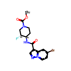 CC(C)(C)OC(=O)N1CC[C@@H](NC(=O)c2cnn3ccc(Br)cc23)[C@H](F)C1